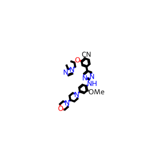 COc1cc(N2CCC(N3CCOCC3)CC2)ccc1Nc1ncc(-c2ccc(C#N)c(OC(C)Cn3ccnc3C)c2)cn1